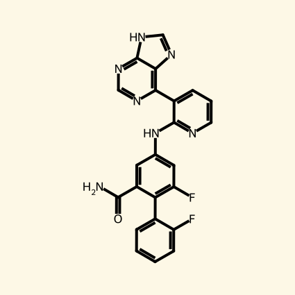 NC(=O)c1cc(Nc2ncccc2-c2ncnc3[nH]cnc23)cc(F)c1-c1ccccc1F